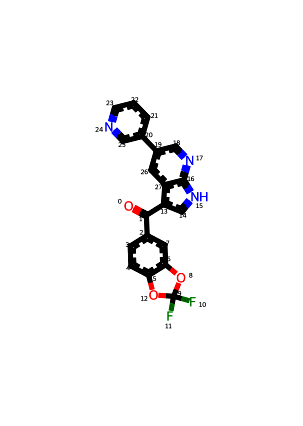 O=C(c1ccc2c(c1)OC(F)(F)O2)c1c[nH]c2ncc(-c3cccnc3)cc12